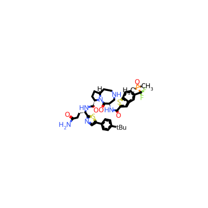 CC(C)(C)c1ccc(-c2cnc([C@H](CCC(N)=O)NC(=O)[C@@H]3CC[C@@H]4CCNC[C@H](NC(=O)c5cc6cc(C(F)(F)P(C)(C)=O)ccc6s5)C(=O)N43)s2)cc1